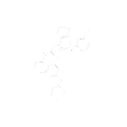 CN(C(=O)CC(NS(=O)(=O)c1cccc(C(F)(F)F)c1)c1ccccc1)C1CCOc2cc(CN3CCCCC3)ccc21